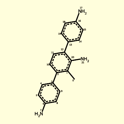 Cc1c(-c2ccc(N)cc2)[c]cc(-c2ccc(N)cc2)c1N